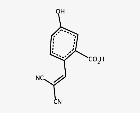 N#CC(C#N)=Cc1ccc(O)cc1C(=O)O